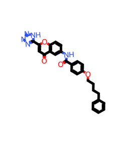 O=C(Nc1ccc2oc(-c3nnn[nH]3)cc(=O)c2c1)c1ccc(OCCCCc2ccccc2)cc1